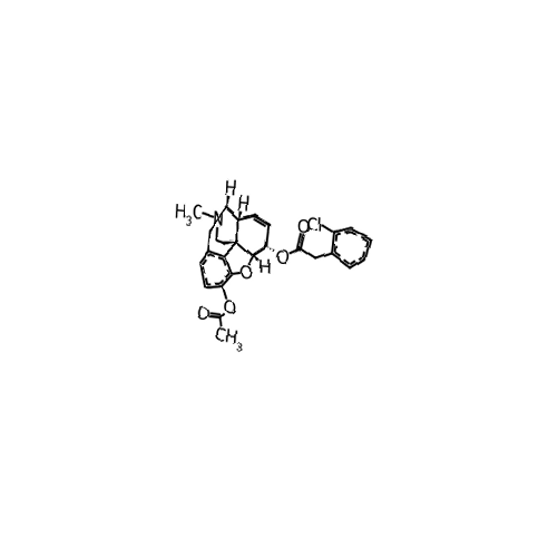 CC(=O)Oc1ccc2c3c1O[C@H]1[C@@H](OC(=O)Cc4ccccc4Cl)C=C[C@H]4[C@@H](C2)N(C)CC[C@@]341